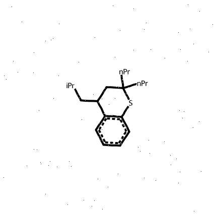 CCCC1(CCC)CC(CC(C)C)c2ccccc2S1